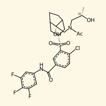 CC(=O)N(C[C@H](C)O)C[C@]1(O)C2CCC1C[C@@H](S(=O)(=O)c1cc(C(=O)Nc3cc(F)c(F)c(F)c3)ccc1Cl)C2